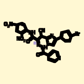 N#CC(/C(=N\NC(=O)c1ccncc1)C(=O)Nc1ccc([N+](=O)[O-])cc1[N+](=O)[O-])c1nc(-c2ccc(Br)cc2)cs1